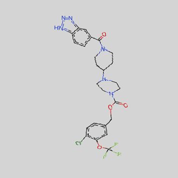 O=C(OCc1ccc(Cl)c(OC(F)(F)F)c1)N1CCN(C2CCN(C(=O)c3ccc4[nH]nnc4c3)CC2)CC1